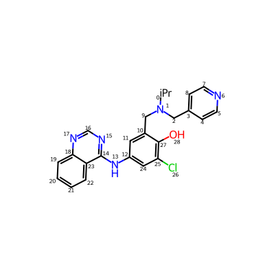 CC(C)N(Cc1ccncc1)Cc1cc(Nc2ncnc3ccccc23)cc(Cl)c1O